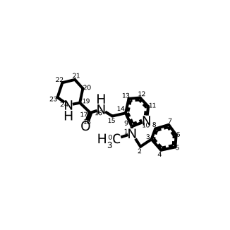 CN(Cc1ccccc1)c1ncccc1CNC(=O)C1CCCCN1